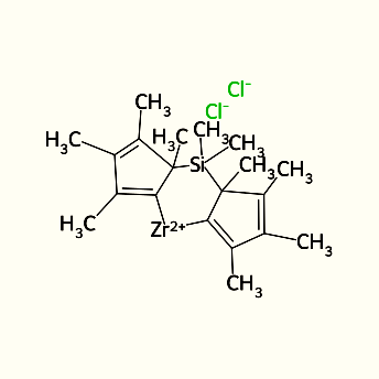 CC1=C(C)C2(C)[C](=C1C)[Zr+2][C]1=C(C)C(C)=C(C)C1(C)[Si]2(C)C.[Cl-].[Cl-]